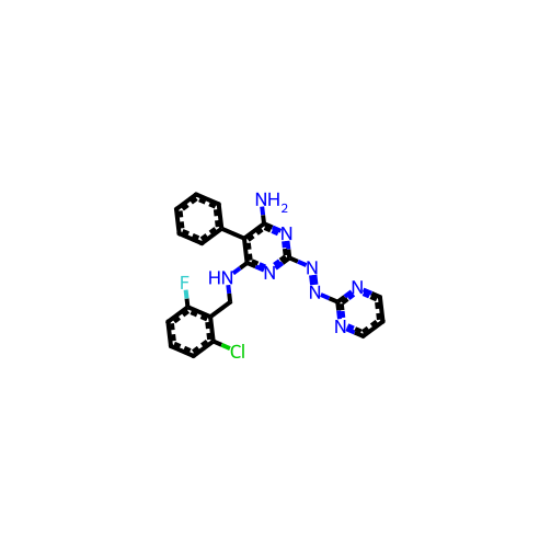 Nc1nc(N=Nc2ncccn2)nc(NCc2c(F)cccc2Cl)c1-c1ccccc1